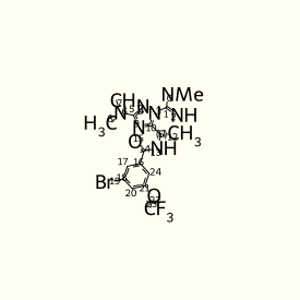 CNC(=N)n1nc(N(C)C)nc1[C@H](C)NC(=O)c1cc(Br)cc(OC(F)(F)F)c1